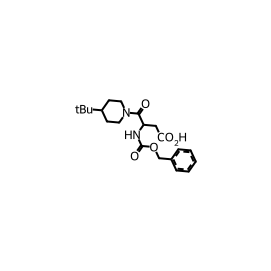 CC(C)(C)C1CCN(C(=O)C(CC(=O)O)NC(=O)OCc2ccccc2)CC1